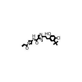 C=CC(=O)N1CC(NC(=O)c2cnc(CCc3cc(C(C)(C)C)c(Cl)cc3O)n2C)C1